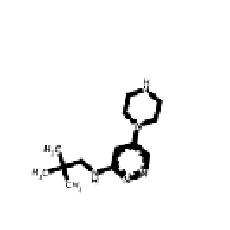 CC(C)(C)CNc1cc(N2CCNCC2)cnn1